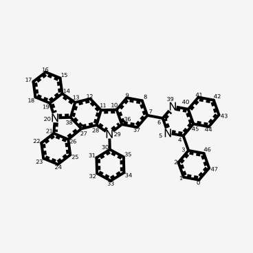 c1ccc(-c2nc(-c3ccc4c5cc6c7ccccc7n7c8ccccc8c(c5n(-c5ccccc5)c4c3)c67)nc3ccccc23)cc1